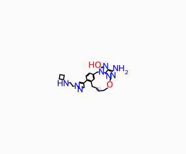 Nc1nc2nc3c1nc(O)n3Cc1ccc(-c3cnn(CCNC4CCC4)c3)c(c1)C/C=C/CCO2